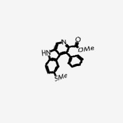 COC(=O)c1ncc2[nH]c3ccc(SC)cc3c2c1-c1ccccc1